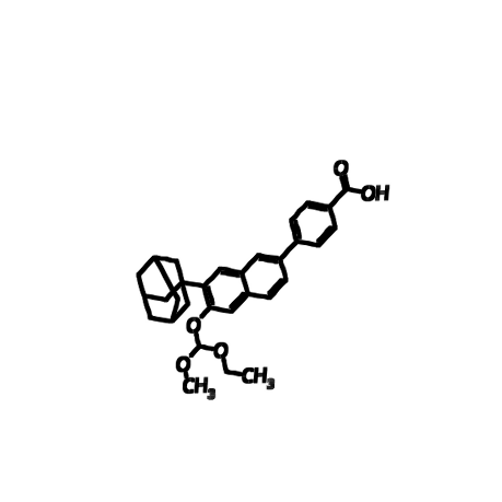 CCOC(OC)Oc1cc2ccc(-c3ccc(C(=O)O)cc3)cc2cc1C12CC3CC(CC(C3)C1)C2